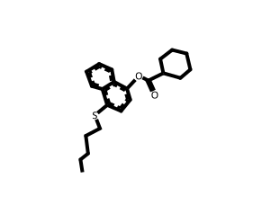 CCCCCSc1ccc(OC(=O)C2CCCCC2)c2ccccc12